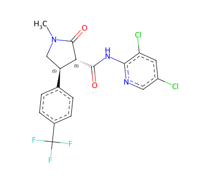 CN1C[C@H](c2ccc(C(F)(F)F)cc2)[C@@H](C(=O)Nc2ncc(Cl)cc2Cl)C1=O